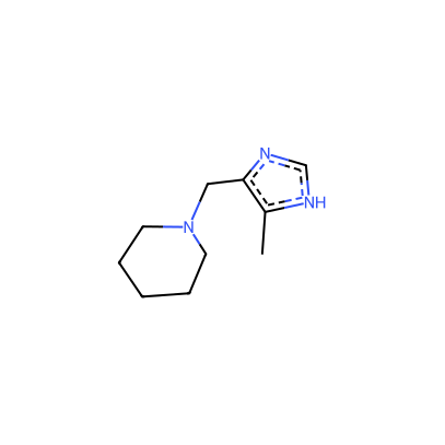 Cc1[nH]cnc1CN1CCCCC1